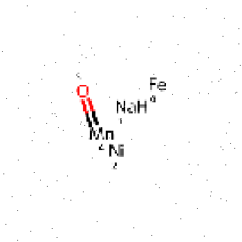 [Fe].[NaH].[Ni].[O]=[Mn]